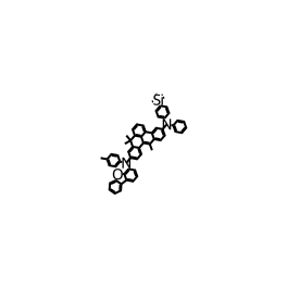 Cc1ccc(N(c2ccc3c(c2)C(C)(C)c2cccc4c2c-3c(C)c2ccc(N(c3ccccc3)c3ccc([Si](C)(C)C)cc3)cc24)c2cccc3c2oc2ccccc23)cc1